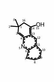 CC1(C)C=c2nc3ccccc3cc2=C(O)C1